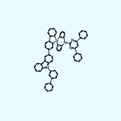 c1ccc(-c2cccc(-n3c4ccccc4c4cc(-c5ccc6c(c5)[Si]5(c7ccccc7-6)c6ccccc6N(c6nc(-c7ccccc7)cc(-c7ccccc7)n6)c6ccccc65)ccc43)c2)cc1